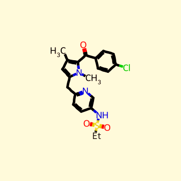 CCS(=O)(=O)Nc1ccc(Cc2cc(C)c(C(=O)c3ccc(Cl)cc3)n2C)nc1